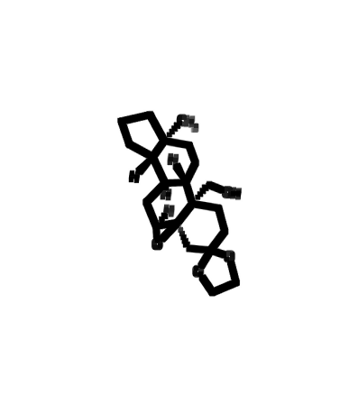 C[C@@]12CCC[C@H]1[C@@H]1C[C@@H]3O[C@@]34CC3(CC[C@]4(CO)[C@H]1CC2)OCCO3